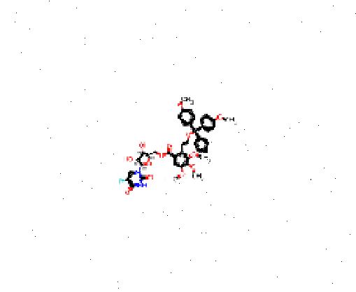 COc1ccc(C(OCCc2c(C(=O)OC[C@H]3O[C@@H](n4cc(F)c(=O)[nH]c4=O)[C@H](O)[C@@H]3O)cc(OC)c(OC)c2OC)(c2ccccc2)c2ccc(OC)cc2)cc1